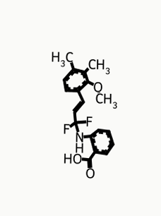 COc1c(/C=C/C(F)(F)Nc2ccccc2C(=O)O)ccc(C)c1C